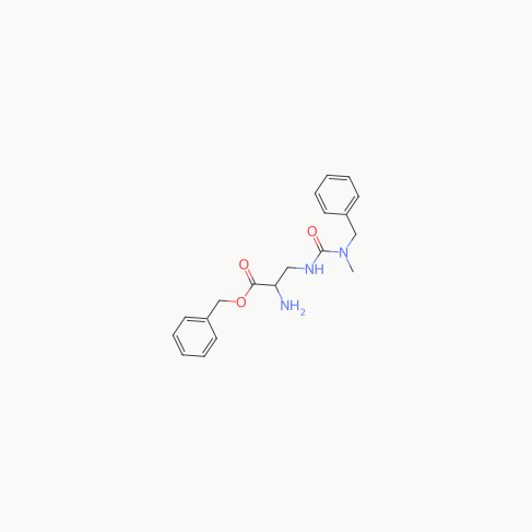 CN(Cc1ccccc1)C(=O)NCC(N)C(=O)OCc1ccccc1